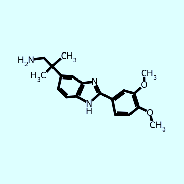 COc1ccc(-c2nc3cc(C(C)(C)CN)ccc3[nH]2)cc1OC